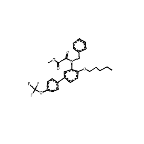 CCCCCOc1ccc(-c2ccc(OC(F)(F)F)cc2)cc1N(Cc1ccccc1)C(=O)C(=O)OC